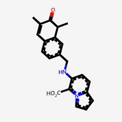 CC1=Cc2ccc(CNc3ccc4cccn4c3C(=O)O)cc2C(C)C1=O